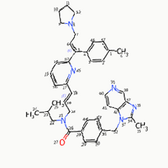 Cc1ccc(/C(=C\CN2CCCC2)c2cccc(/C=C/CN(CC(C)C)C(=O)c3ccc(Cn4c(C)nc5cnccc54)cc3)n2)cc1